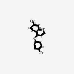 CC(C)c1ccc(Oc2ccnc3cc(Cl)ccc23)cc1